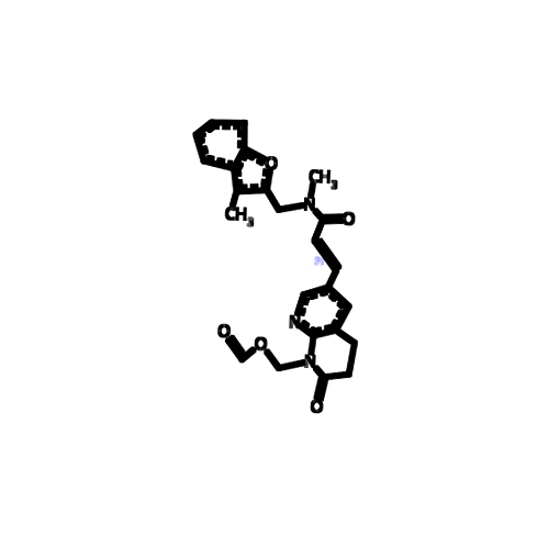 Cc1c(CN(C)C(=O)/C=C/c2cnc3c(c2)CCC(=O)N3COC=O)oc2ccccc12